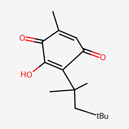 CC1=CC(=O)C(C(C)(C)CC(C)(C)C)=C(O)C1=O